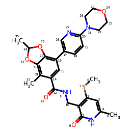 CSc1cc(C)[nH]c(=O)c1CNC(=O)c1cc(-c2ccc(N3CCOCC3)nc2)c2c(c1C)OC(C)O2